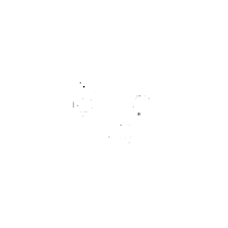 Nc1nnc(-c2ccc3occ(-c4ccccc4Cl)c3c2)o1